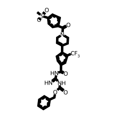 CS(=O)(=O)c1ccc(C(=O)N2CC=C(c3ccc(C(=O)NC(=N)NC(=O)OCc4ccccc4)cc3C(F)(F)F)CC2)cc1